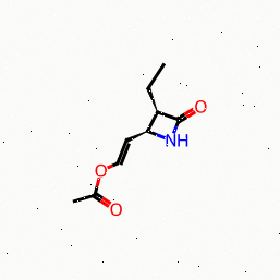 CC[C@H]1C(=O)N[C@H]1/C=C/OC(C)=O